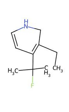 CCC1=C(C(C)(C)F)C=CNC1